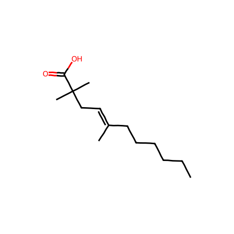 CCCCCC/C(C)=C/CC(C)(C)C(=O)O